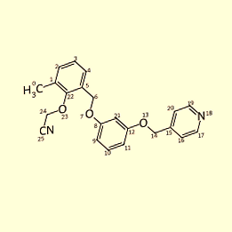 Cc1cccc(COc2cccc(OCc3ccncc3)c2)c1OCC#N